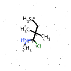 CNC(Cl)C(C)(C)C[SiH3]